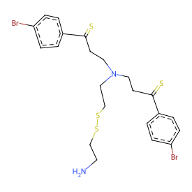 NCCSSCCN(CCC(=S)c1ccc(Br)cc1)CCC(=S)c1ccc(Br)cc1